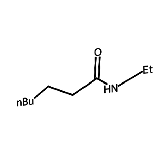 [CH2]CNC(=O)CCCCCC